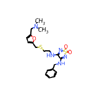 CN(C)Cc1ccc(CSCCNC2=NS(=O)(=O)N=C2NCc2ccccc2)o1